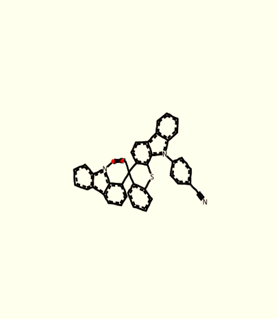 N#Cc1ccc(-n2c3ccccc3c3ccc4c(c32)Sc2ccccc2C42c3ccccc3-n3c4ccccc4c4cccc2c43)cc1